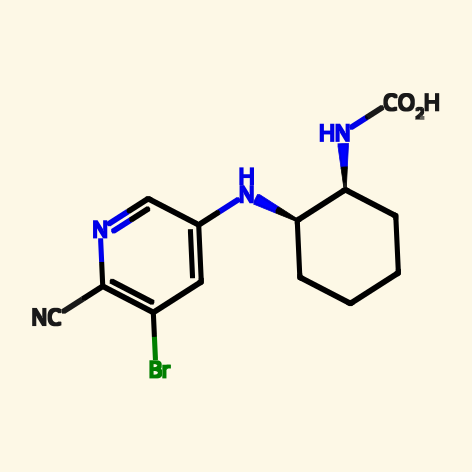 N#Cc1ncc(N[C@@H]2CCCC[C@@H]2NC(=O)O)cc1Br